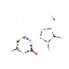 CC(=O)OC1C(Br)[C@@H](CO)O[C@H]1n1ccc(N)nc1=O